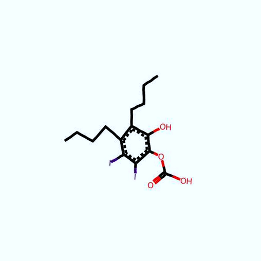 CCCCc1c(O)c(OC(=O)O)c(I)c(I)c1CCCC